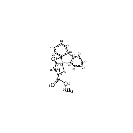 CC(C)(C)OC(=O)CCC1(C(N)=O)c2ccccc2-c2ccccc21